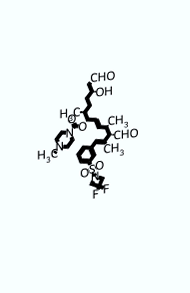 C/C(=C\c1cccc(S(=O)(=O)N2CC(F)(F)C2)c1)[C@@H](C=O)[C@@H](C)/C=C/[C@H](OC(=O)N1CCN(C)CC1)[C@@H](C)CC[C@@H](O)CC=O